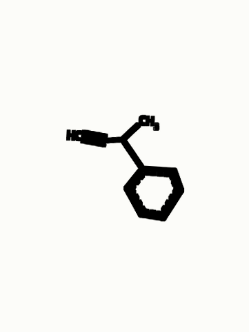 C#CC(C)c1ccccc1